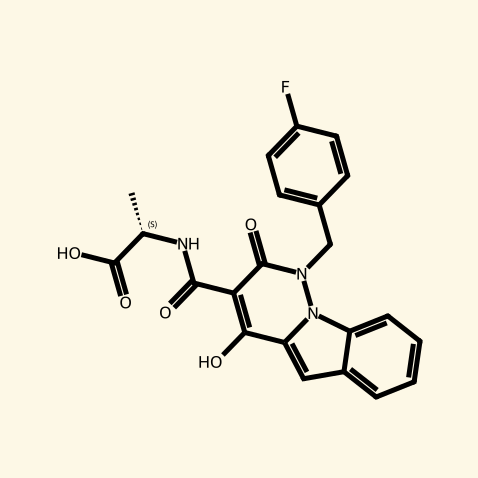 C[C@H](NC(=O)c1c(O)c2cc3ccccc3n2n(Cc2ccc(F)cc2)c1=O)C(=O)O